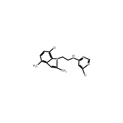 Cc1ccc(Cl)c2c1cc(C)n2CCNc1cc(Cl)ncn1